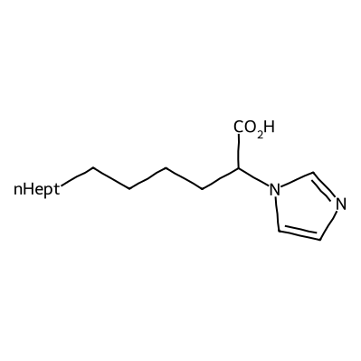 CCCCCCCCCCCC(C(=O)O)n1ccnc1